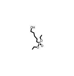 CCOP(=O)(CCCCCO)OCC